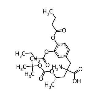 CCCC(=O)Oc1ccc(CC(N)(C[C@H](C)OC(=O)OC(C)(C)C)C(=O)O)cc1OC(=O)CCC